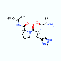 CC(C)[C@H](N)C(=O)N[C@@H](Cc1c[nH]cn1)C(=O)N1CCC[C@H]1C(=O)N[C@H](C(=O)O)C(C)C